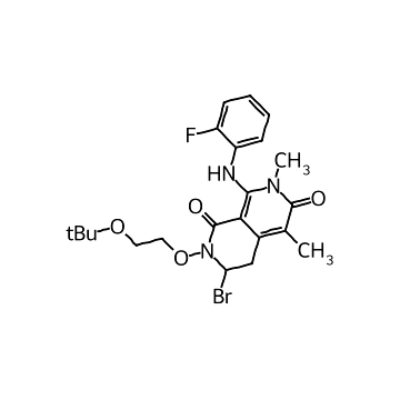 Cc1c2c(c(Nc3ccccc3F)n(C)c1=O)C(=O)N(OCCOC(C)(C)C)C(Br)C2